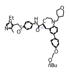 CCCCOCCOc1ccc(-c2ccc3c(c2)/C=C(/C(=O)Nc2ccc([S+]([O-])Cc4c(C)ncn4CC)cc2)CCCN3CC2CCOCC2)cc1